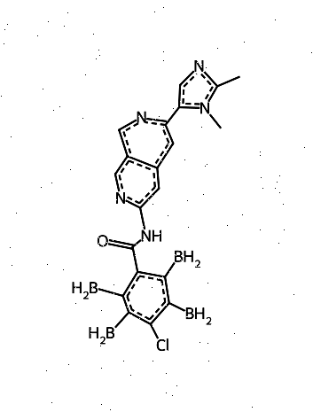 Bc1c(B)c(C(=O)Nc2cc3cc(-c4cnc(C)n4C)ncc3cn2)c(B)c(B)c1Cl